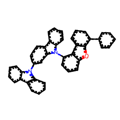 c1ccc(-c2cccc3c2oc2cccc(-n4c5ccccc5c5ccc(-n6c7ccccc7c7ccccc76)cc54)c23)cc1